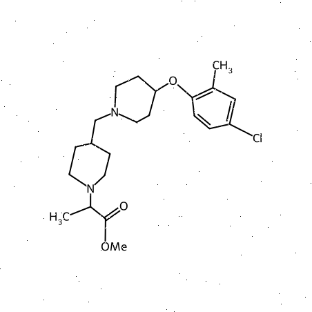 COC(=O)C(C)N1CCC(CN2CCC(Oc3ccc(Cl)cc3C)CC2)CC1